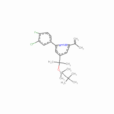 C=C(C)c1cc(C(C)(C)O[Si](C)(C)C(C)(C)C)cc(-c2ccc(F)c(Cl)c2)n1